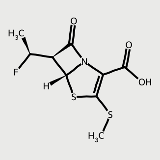 CSC1=C(C(=O)O)N2C(=O)[C@H]([C@H](C)F)[C@H]2S1